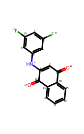 O=C1C=C(Nc2cc(F)cc(F)c2)C(=O)c2ccccc21